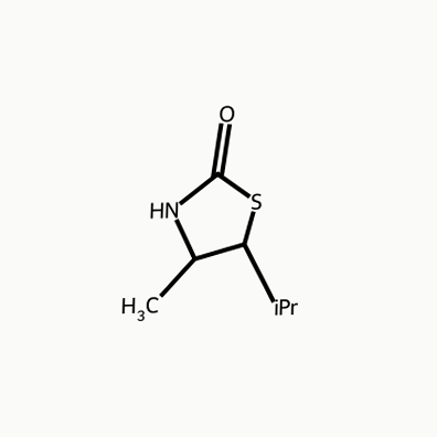 CC(C)C1SC(=O)NC1C